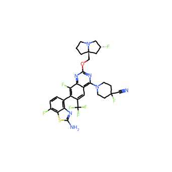 N#CC1(F)CCN(c2nc(OC[C@@]34CCCN3C[C@H](F)C4)nc3c(F)c(-c4ccc(F)c5sc(N)nc45)c(C(F)(F)F)cc23)CC1